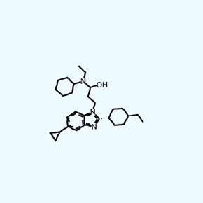 CCN(C(O)CCn1c2ccc(C3CC3)cc2nc1[C@H]1CC[C@H](CC)CC1)C1CCCCC1